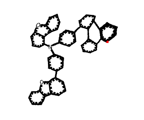 c1ccc(-c2ccccc2-c2c(-c3ccccc3)cccc2-c2ccc(N(c3ccc(-c4cccc5c4oc4ccccc45)cc3)c3cccc4oc5ccccc5c34)cc2)cc1